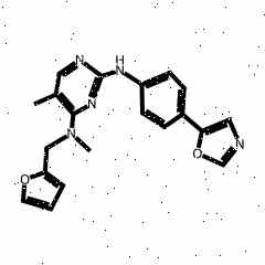 Cc1cnc(Nc2ccc(-c3cnco3)cc2)nc1N(C)Cc1ccco1